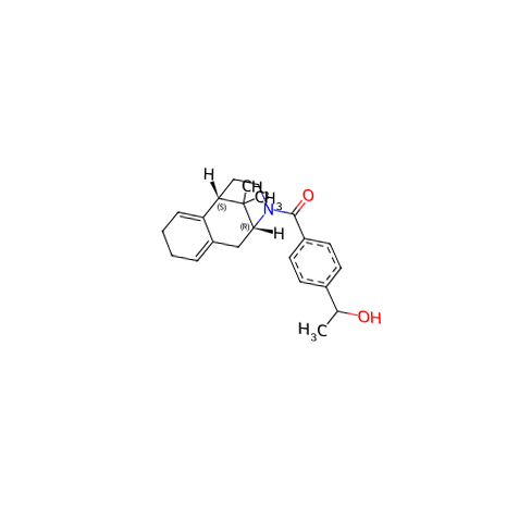 CC(O)c1ccc(C(=O)N2CC[C@H]3C4=CCCC=C4C[C@@H]2C3(C)C)cc1